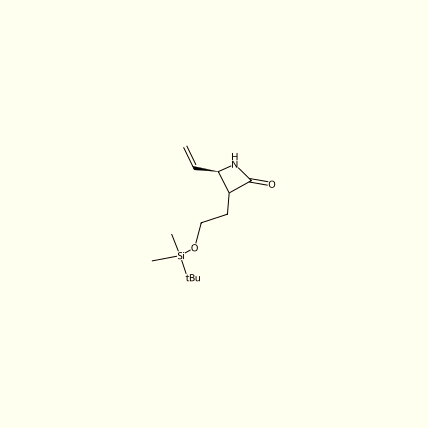 C=C[C@H]1NC(=O)C1CCO[Si](C)(C)C(C)(C)C